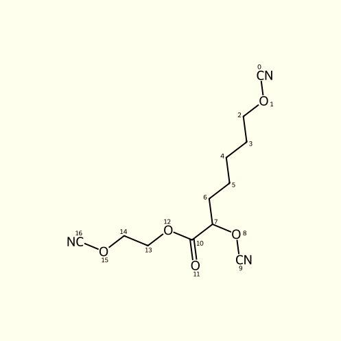 N#COCCCCCC(OC#N)C(=O)OCCOC#N